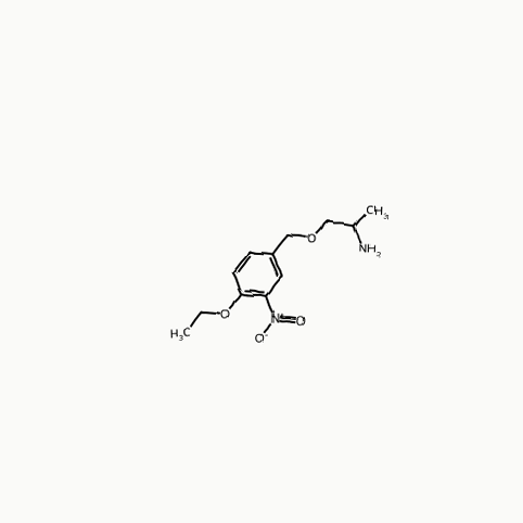 CCOc1ccc(COCC(C)N)cc1[N+](=O)[O-]